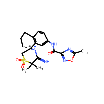 Cc1nc(C(=O)Nc2ccc3c(c2)[C@]2(CCC3)CS(=O)(=O)C(C)(C)C(=N)N2)no1